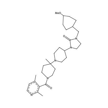 COC1CCC(CN2CCN(C3CCN(C4(C)CCN(C(=O)c5c(C)ccnc5C)CC4)CC3)C2=O)CC1